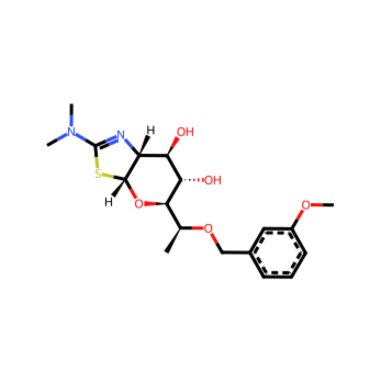 COc1cccc(CO[C@@H](C)[C@H]2O[C@@H]3SC(N(C)C)=N[C@@H]3[C@@H](O)[C@@H]2O)c1